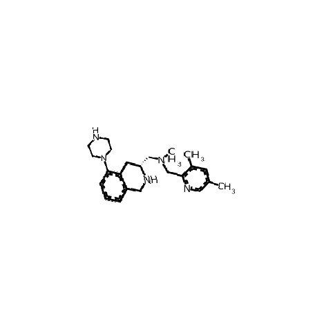 Cc1cnc(CN(C)C[C@H]2Cc3c(cccc3N3CCNCC3)CN2)c(C)c1